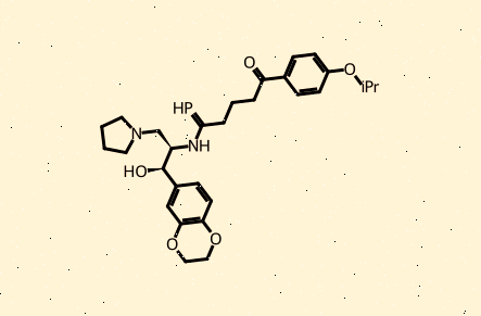 CC(C)Oc1ccc(C(=O)CCCC(=P)N[C@H](CN2CCCC2)[C@H](O)c2ccc3c(c2)OCCO3)cc1